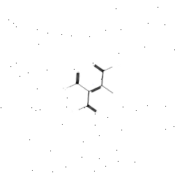 C/C(C(=O)O)=C(/C(N)=O)C(=O)O